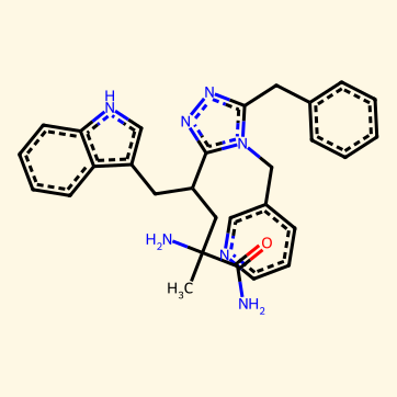 CC(N)(CC(Cc1c[nH]c2ccccc12)c1nnc(Cc2ccccc2)n1Cc1cccnc1)C(N)=O